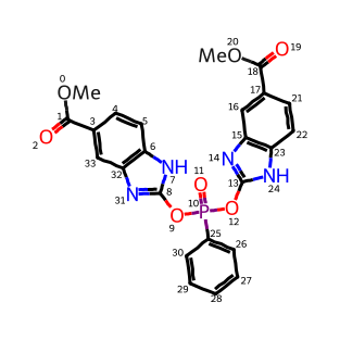 COC(=O)c1ccc2[nH]c(OP(=O)(Oc3nc4cc(C(=O)OC)ccc4[nH]3)c3ccccc3)nc2c1